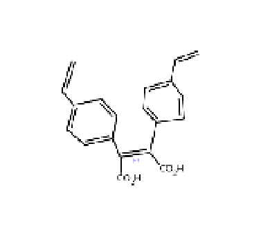 C=Cc1ccc(/C(C(=O)O)=C(/C(=O)O)c2ccc(C=C)cc2)cc1